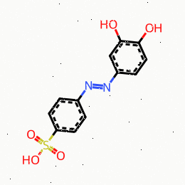 O=S(=O)(O)c1ccc(N=Nc2ccc(O)c(O)c2)cc1